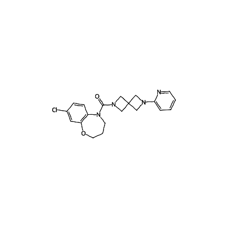 O=C(N1CC2(C1)CN(c1ccccn1)C2)N1CCCOc2cc(Cl)ccc21